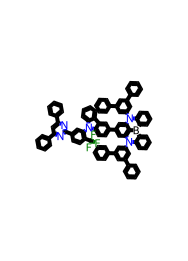 FC(F)(F)c1ccc(-c2nc(-c3ccccc3)cc(-c3ccccc3)n2)cc1-n1c2ccccc2c2cc(-c3cc4c5c(c3)N(c3cc(-c6ccccc6)cc(-c6ccccc6)c3)c3ccccc3B5c3ccccc3N4c3cc(-c4ccccc4)cc(-c4ccccc4)c3)ccc21